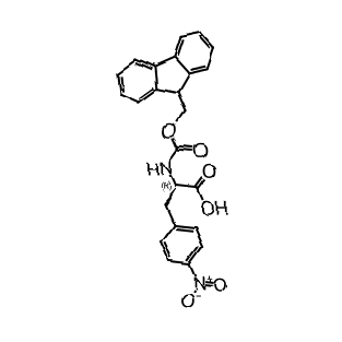 O=C(N[C@H](Cc1ccc([N+](=O)[O-])cc1)C(=O)O)OCC1c2ccccc2-c2ccccc21